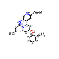 CC/C=C/C(=N/c1ccc(OC)nc1)N1CCC(Oc2ccccc2C)CC1